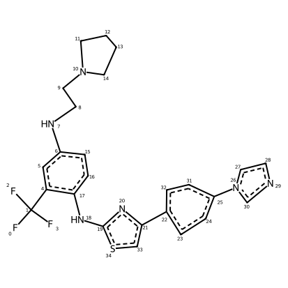 FC(F)(F)c1cc(NCCN2CCCC2)ccc1Nc1nc(-c2ccc(-n3ccnc3)cc2)cs1